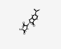 CC(C)c1ccc2c(c1)CN(C1CC(=O)NC1=O)C2=O